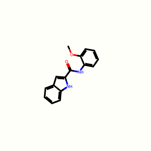 COc1ccccc1NC(=O)c1cc2ccccc2[nH]1